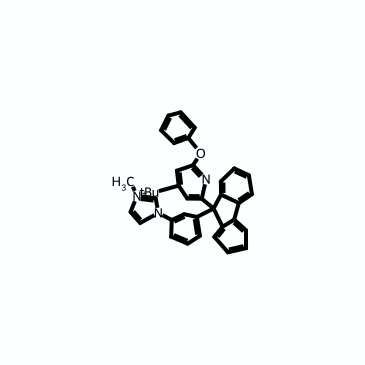 C[n+]1ccn(-c2cccc(C3(c4cc(C(C)(C)C)cc(Oc5ccccc5)n4)c4ccccc4-c4ccccc43)c2)c1